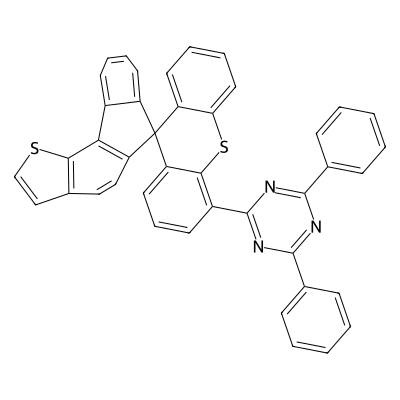 c1ccc(-c2nc(-c3ccccc3)nc(-c3cccc4c3Sc3ccccc3C43c4ccccc4-c4c3ccc3ccsc43)n2)cc1